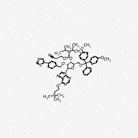 COc1ccc(C(OC[C@H]2O[C@@H](n3cnc4c(OCC[Si](C)(C)C)ncnc43)[C@H](OCc3ccc(-c4cncs4)cc3)[C@@H]2OP(OCCC#N)N(C(C)C)C(C)C)(c2ccccc2)c2ccc(OC)cc2)cc1